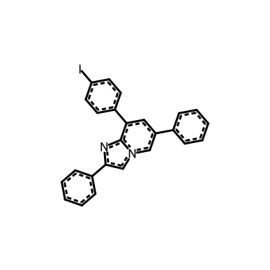 Ic1ccc(-c2cc(-c3ccccc3)cn3cc(-c4ccccc4)nc23)cc1